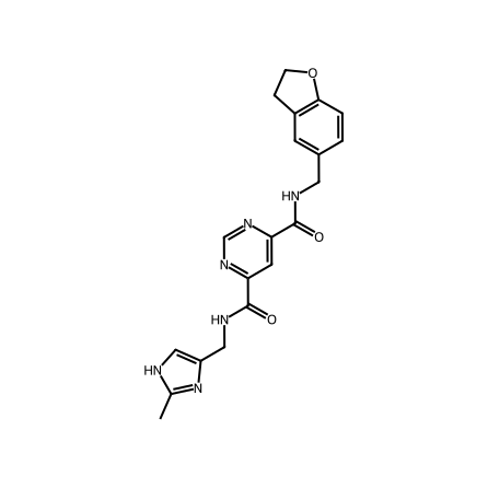 Cc1nc(CNC(=O)c2cc(C(=O)NCc3ccc4c(c3)CCO4)ncn2)c[nH]1